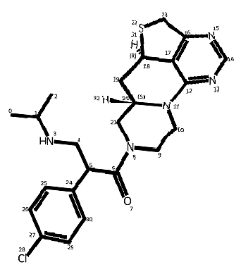 CC(C)NCC(C(=O)N1CCN2c3ncnc4c3[C@@H](C[C@H]2C1)SC4)c1ccc(Cl)cc1